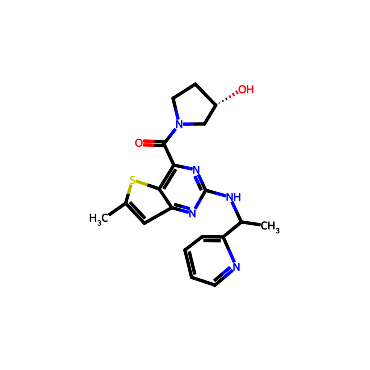 Cc1cc2nc(NC(C)c3ccccn3)nc(C(=O)N3CC[C@H](O)C3)c2s1